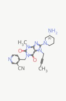 CC#CCn1c(N2CCC[C@@H](N)C2)nc2c1c(=O)n(Cc1ccncc1C#N)c(=O)n2C